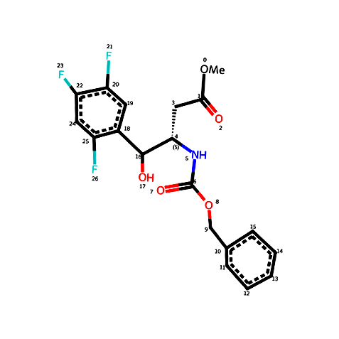 COC(=O)C[C@H](NC(=O)OCc1ccccc1)C(O)c1cc(F)c(F)cc1F